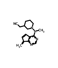 C=C1C=Cc2c1ncnc2N(C)N1CCCC(CC#N)C1